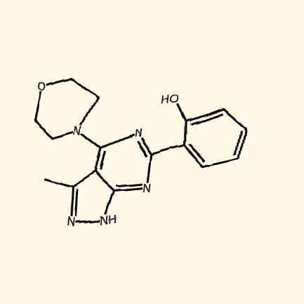 Cc1n[nH]c2nc(-c3ccccc3O)nc(N3CCOCC3)c12